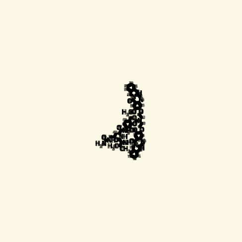 COc1cc2c(cc1OCCN(CCOc1cc3c(cc1OC)C(=O)N1Cc4ccccc4C[C@H]1C=N3)C(=O)OCc1ccc(NC(=O)[C@H](CCCNC(N)=O)NC(=O)[C@@H](N)C(C)C)cc1)N=C[C@@H]1Cc3ccccc3CN1C2=O